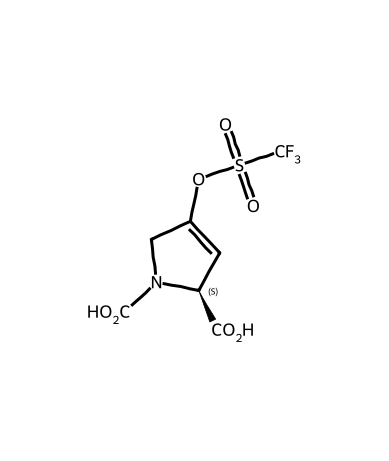 O=C(O)[C@@H]1C=C(OS(=O)(=O)C(F)(F)F)CN1C(=O)O